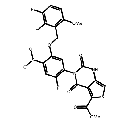 COC(=O)c1scc2[nH]c(=O)n(-c3cc(OCc4c(OC)ccc(F)c4F)c([S+](C)[O-])cc3F)c(=O)c12